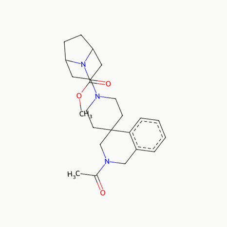 COC(=O)N1C2CCC1CC(N1CCC3(CC1)CN(C(C)=O)Cc1ccccc13)C2